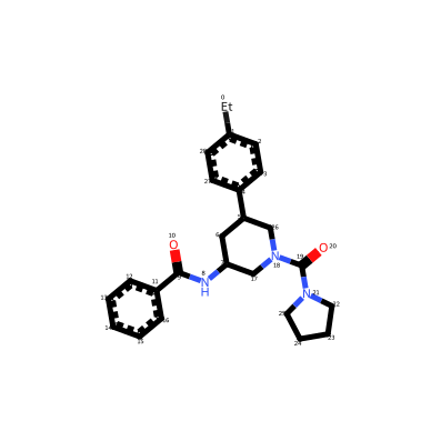 CCc1ccc(C2CC(NC(=O)c3ccccc3)CN(C(=O)N3CCCC3)C2)cc1